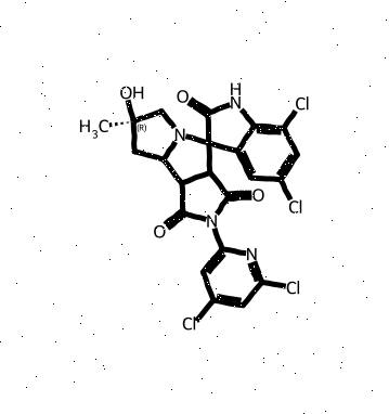 C[C@@]1(O)CC2C3C(=O)N(c4cc(Cl)cc(Cl)n4)C(=O)C3C3(C(=O)Nc4c(Cl)cc(Cl)cc43)N2C1